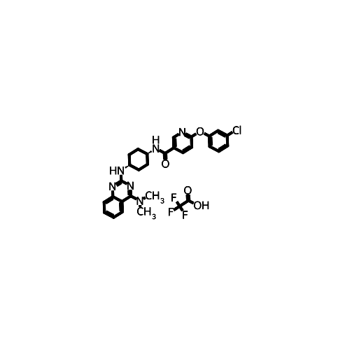 CN(C)c1nc(N[C@H]2CC[C@@H](NC(=O)c3ccc(Oc4cccc(Cl)c4)nc3)CC2)nc2ccccc12.O=C(O)C(F)(F)F